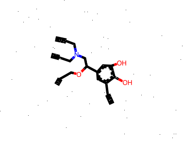 C#CCOC(CN(CC#C)CC#C)c1cc(O)c(O)c(C#C)c1